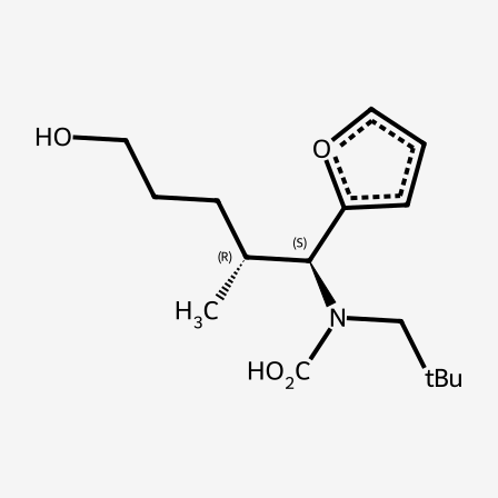 C[C@H](CCCO)[C@@H](c1ccco1)N(CC(C)(C)C)C(=O)O